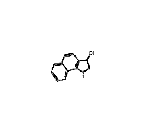 OC1CNc2c1ccc1ccccc21